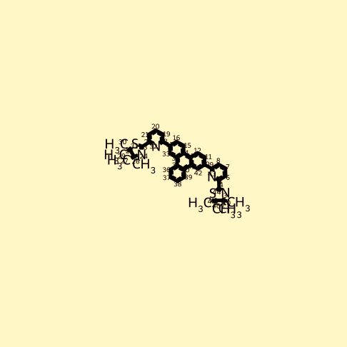 CC1(C)N=C(c2cccc(-c3ccc4c5ccc(-c6cccc(C7=NC(C)(C)C(C)(C)S7)n6)cc5c5ccccc5c4c3)n2)SC1(C)C